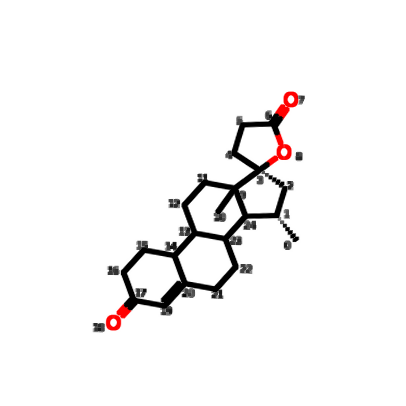 C[C@H]1C[C@@]2(CCC(=O)O2)C2(C)CCC3C4CCC(=O)C=C4CCC3C12